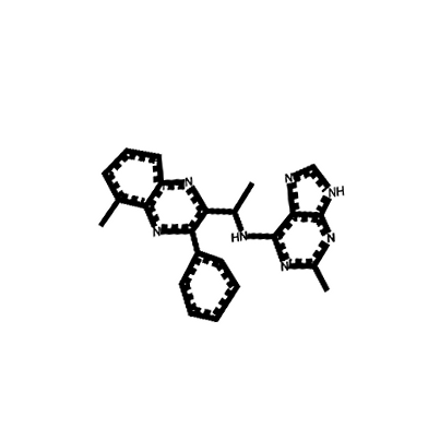 Cc1nc(NC(C)c2nc3cccc(C)c3nc2-c2ccccc2)c2nc[nH]c2n1